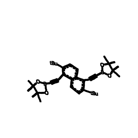 CC(C)(C)c1ccc2c(C#CB3OC(C)(C)C(C)(C)O3)c(C(C)(C)C)ccc2c1C#CB1OC(C)(C)C(C)(C)O1